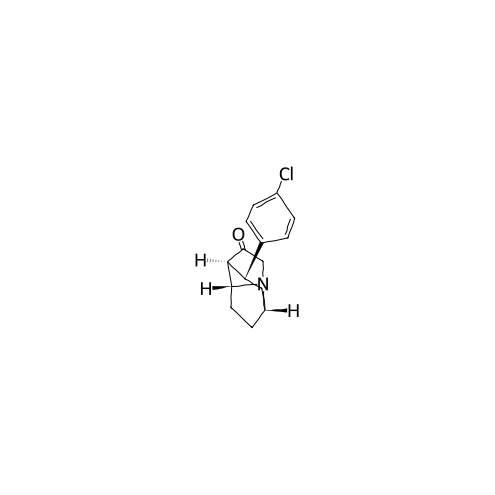 O=C1CN2[C@H]3CC[C@@H]2[C@@H]1[C@@H](c1ccc(Cl)cc1)C3